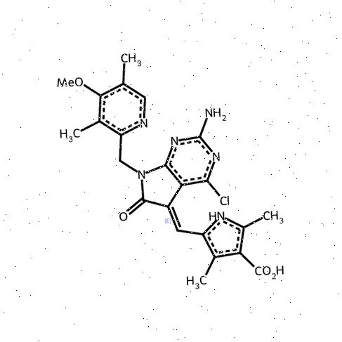 COc1c(C)cnc(CN2C(=O)/C(=C/c3[nH]c(C)c(C(=O)O)c3C)c3c(Cl)nc(N)nc32)c1C